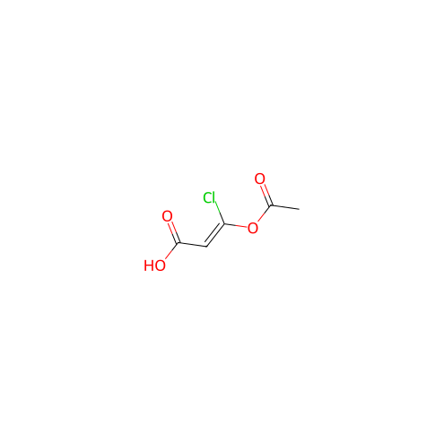 CC(=O)OC(Cl)=CC(=O)O